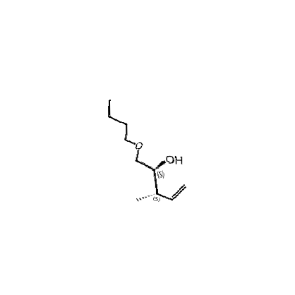 C=C[C@H](C)[C@H](O)COCCCC